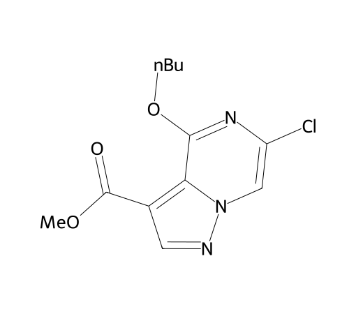 CCCCOc1nc(Cl)cn2ncc(C(=O)OC)c12